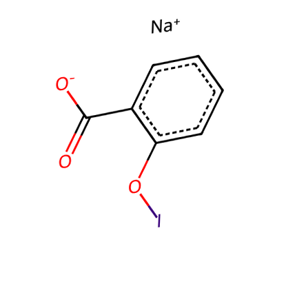 O=C([O-])c1ccccc1OI.[Na+]